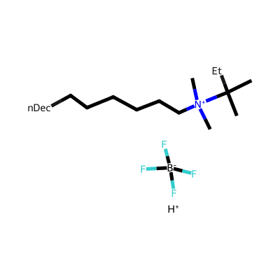 CCCCCCCCCCCCCCCC[N+](C)(C)C(C)(C)CC.F[B-](F)(F)F.[H+]